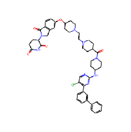 O=C1CCC(N2Cc3cc(OC4CCN(CCN5CCC(C(=O)N6CCC(Nc7ncc(Cl)c(-c8cccc(-c9ccccc9)c8)n7)CC6)CC5)CC4)ccc3C2=O)C(=O)N1